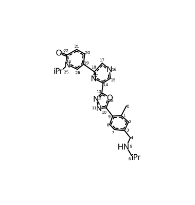 Cc1cc(CNC(C)C)ccc1-c1nnc(-c2cncc(-c3ccc(=O)n(C(C)C)c3)n2)o1